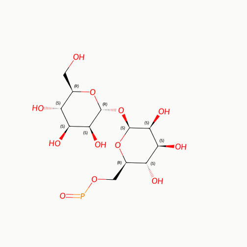 O=POC[C@H]1O[C@@H](O[C@H]2O[C@H](CO)[C@@H](O)[C@H](O)[C@@H]2O)[C@@H](O)[C@@H](O)[C@@H]1O